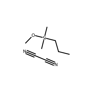 CCC[Si](C)(C)OC.N#CC#N